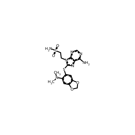 CN(C)c1cc2c(cc1Sc1nc3c(N)ncnc3n1CCS(N)(=O)=O)OCO2